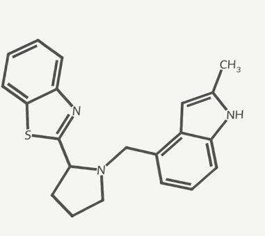 Cc1cc2c(CN3CCCC3c3nc4ccccc4s3)cccc2[nH]1